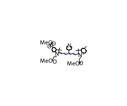 COC(=O)CCN1/C(=C/C=C/C(=C/C=C/C2=[N+](CCC(=O)OC)c3ccc(C)cc3C2(C)C)c2ccncc2)C(C)(C)c2cc(S(=O)(=O)OC)ccc21